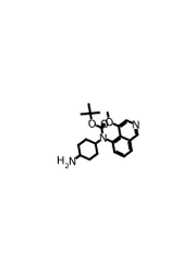 COc1cncc2cccc(N(C(=O)OC(C)(C)C)C3CCC(N)CC3)c12